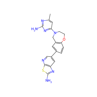 Cc1cc(N2CCOc3ccc(-c4cnc5sc(N)nc5c4)cc3C2)nc(N)n1